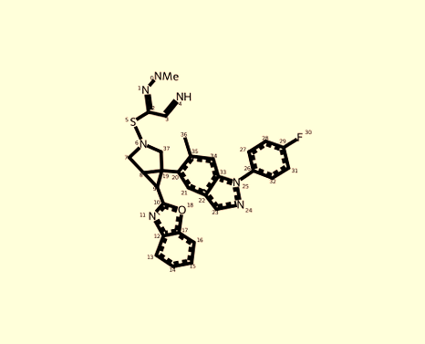 CN/N=C(\C=N)SN1CC2C(c3nc4ccccc4o3)C2(c2cc3cnn(-c4ccc(F)cc4)c3cc2C)C1